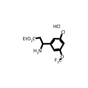 CCOC(=O)CC(N)c1cc(Cl)cc(OC(F)(F)F)c1.Cl